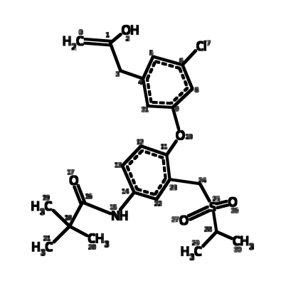 C=C(O)Cc1cc(Cl)cc(Oc2ccc(NC(=O)C(C)(C)C)cc2CS(=O)(=O)C(C)C)c1